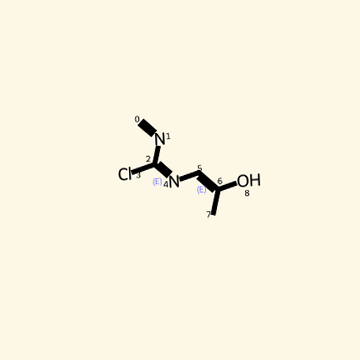 C=N/C(Cl)=N\C=C(/C)O